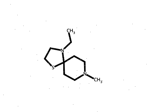 CCN1CCSC12CCN(C)CC2